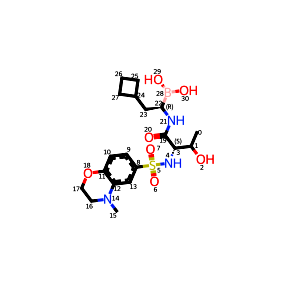 CC(O)[C@H](NS(=O)(=O)c1ccc2c(c1)N(C)CCO2)C(=O)N[C@@H](CC1CCC1)B(O)O